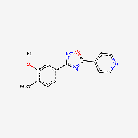 CCOc1cc(-c2noc(-c3ccncc3)n2)ccc1OC